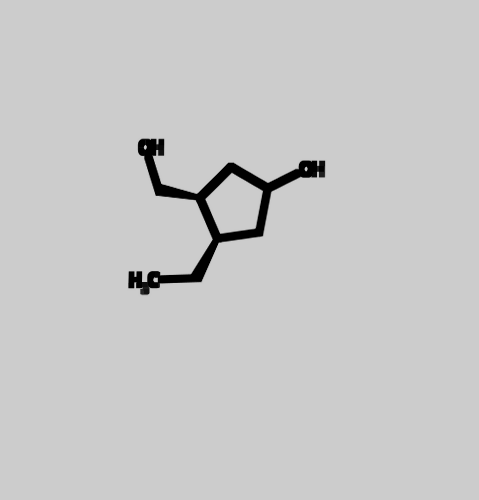 CC[C@@H]1CC(O)C[C@@H]1CO